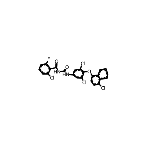 O=C(NC(=O)c1c(F)cccc1Cl)Nc1cc(Cl)c(Oc2ccc(Cl)c3ccccc23)c(Cl)c1